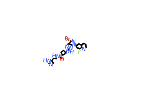 O=C(NCCc1cnc[nH]1)[C@@H]1CC[C@@H](Nc2ncc3c(Br)nn(-c4cc(F)c5ncccc5c4)c3n2)C1